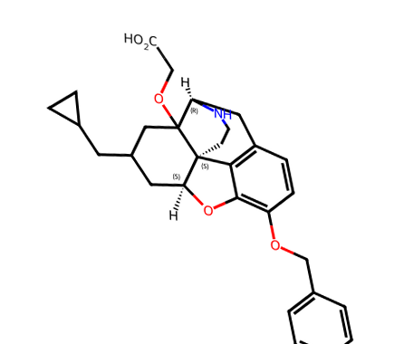 O=C(O)COC12CC(CC3CC3)C[C@@H]3Oc4c(OCc5ccccc5)ccc5c4[C@@]31CCN[C@@H]2C5